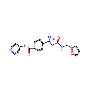 NC(CC(=O)NCc1ccco1)c1ccc(C(=O)Nc2ccncc2)cc1